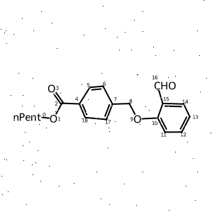 CCCCCOC(=O)c1ccc(COc2ccccc2C=O)cc1